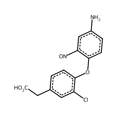 Nc1ccc(Oc2ccc(CC(=O)O)cc2Cl)c(N=O)c1